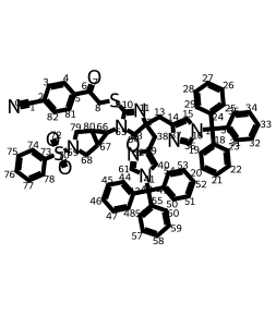 N#Cc1ccc(C(=O)CSC2=NC(Cc3cn(C(c4ccccc4)(c4ccccc4)c4ccccc4)cn3)(Cc3cn(C(c4ccccc4)(c4ccccc4)c4ccccc4)cn3)C(=O)N2C2C3CN(S(=O)(=O)c4ccccc4)CC32)cc1